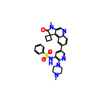 CN1CCN(c2ncc(-c3ccc4ncc5c(c4c3)C3(CCC3)C(=O)N5C)cc2NS(=O)(=O)c2ccccc2)CC1